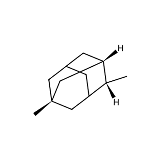 C[C@@H]1C2CC3C[C@H]1C[C@@](C)(C3)C2